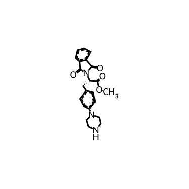 COC(=O)[C@H](Cc1ccc(N2CCNCC2)cc1)N1C(=O)c2ccccc2C1=O